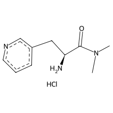 CN(C)C(=O)[C@@H](N)Cc1cccnc1.Cl